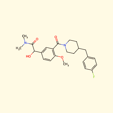 COc1ccc(C(O)C(=O)N(C)C)cc1C(=O)N1CCC(Cc2ccc(F)cc2)CC1